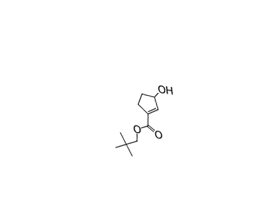 CC(C)(C)COC(=O)C1=CC(O)CC1